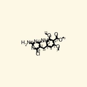 COC(=O)c1c(OC)cc(Cc2c(N)nc(N)nc2Cl)cc1OC